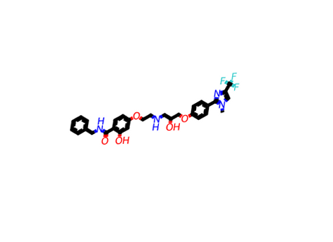 Cn1cc(C(F)(F)F)nc1-c1ccc(OCC(O)CNCCOc2ccc(C(=O)NCc3ccccc3)c(O)c2)cc1